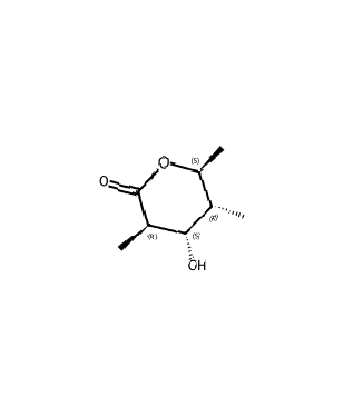 C[C@@H]1[C@H](O)[C@@H](C)C(=O)O[C@H]1C